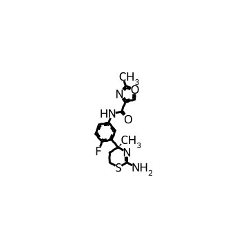 Cc1nc(C(=O)Nc2ccc(F)c([C@]3(C)CCSC(N)=N3)c2)co1